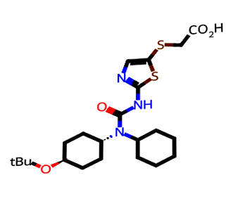 CC(C)(C)O[C@H]1CC[C@H](N(C(=O)Nc2ncc(SCC(=O)O)s2)C2CCCCC2)CC1